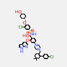 CC1(C)CCC(CN2CCN(c3ccc(C(O)NS(=O)(=O)c4ccc(OC[C@H]5CC[C@H](O)CC5)c(Cl)c4)c(Oc4cnc5[nH]ccc5c4)c3)CC2)=C(c2ccc(Cl)cc2)C1